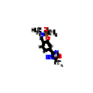 CN(Cc1ccc(C2=NOC(C(F)(F)F)N2)cc1)S(C)(=O)=O